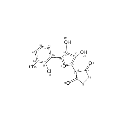 O=C1CCC(=O)N1c1oc(-c2cccc(Cl)c2Cl)c(O)c1O